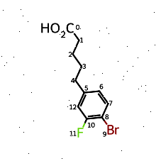 O=C(O)CCCCc1ccc(Br)c(F)c1